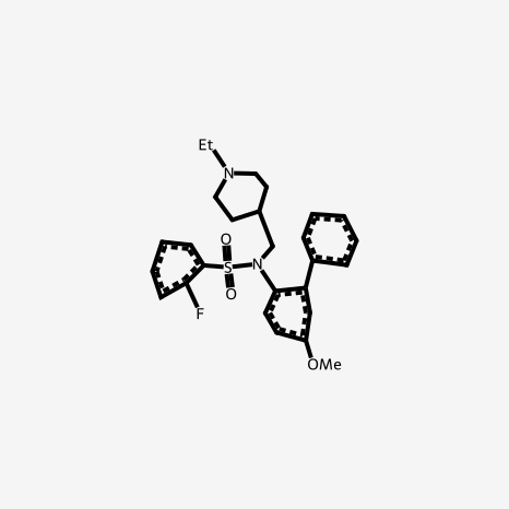 CCN1CCC(CN(c2ccc(OC)cc2-c2ccccc2)S(=O)(=O)c2ccccc2F)CC1